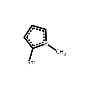 Cp1ccc[c]1[Sb]